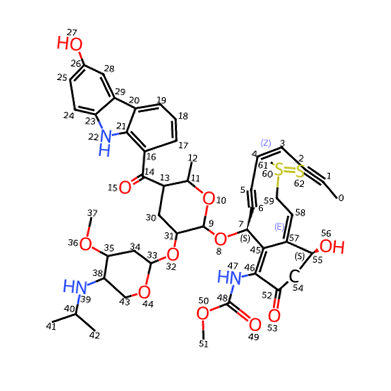 CC#C/C=C\C#C[C@H](OC1OC(C)C(C(=O)c2cccc3c2[nH]c2ccc(O)cc23)CC1OC1CC(OC)C(NC(C)C)CO1)C1=C(NC(=O)OC)C(=O)C[C@H](O)/C1=C/CS(C)=S